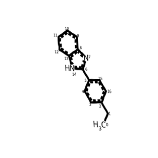 CCc1ccc(-c2nc3ccccc3[nH]2)cc1